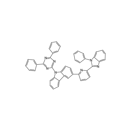 c1ccc(-c2nc(-c3ccccc3)nc(-n3c4ccccc4c4cc(-c5cccc(-c6nc7ccccc7n6-c6ccccc6)n5)ccc43)n2)cc1